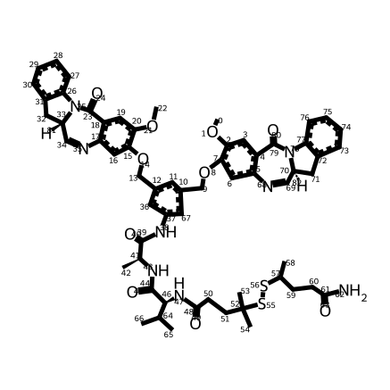 COc1cc2c(cc1OCc1cc(COc3cc4c(cc3OC)C(=O)N3c5ccccc5C[C@H]3C=N4)cc(NC(=O)[C@H](C)NC(=O)[C@@H](NC(=O)CCC(C)(C)SSC(C)CCC(N)=O)C(C)C)c1)N=C[C@@H]1Cc3ccccc3N1C2=O